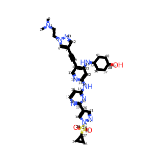 CN(C)CCn1cc(C#Cc2cnc(Nc3ccnc(-c4cnn(S(=O)(=O)C5CC5)c4)n3)cc2NC2CCC(O)CC2)cn1